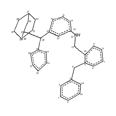 c1ccc(Cc2ccccc2CNc2cccc(C(c3ccccc3)C3CC4CCN3CC4)c2)cc1